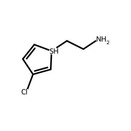 NCC[SH]1C=CC(Cl)=C1